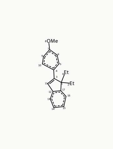 CCC1(CC)C(c2ccc(OC)cc2)=Cc2ccccc21